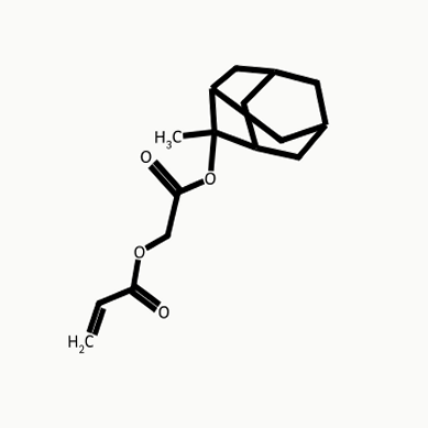 C=CC(=O)OCC(=O)OC1(C)C2CC3CC(C2)CC1C3